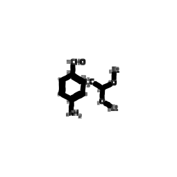 CCOC(C)OCC.Nc1ccc(C=O)cc1